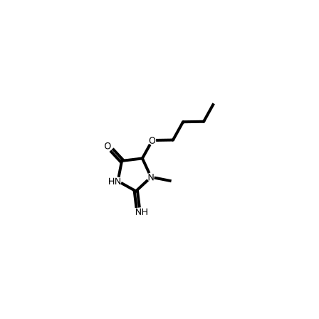 CCCCOC1C(=O)NC(=N)N1C